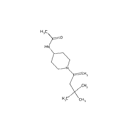 C=C(CC(C)(C)C)N1CCC(NC(C)=O)CC1